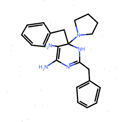 NC1=C(N)C(Cc2ccccc2)(N2CCCC2)NC(Cc2ccccc2)=N1